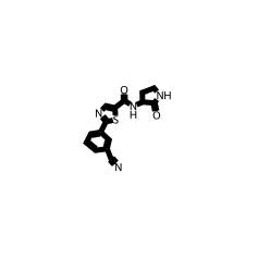 N#Cc1cccc(-c2ncc(C(=O)NC3CCNC3=O)s2)c1